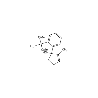 COC(C)(OC)c1ccccc1C1(O)CCC=C1C